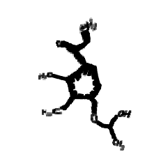 C=CC(=O)c1ccc(OC(C)O)c(C)c1C